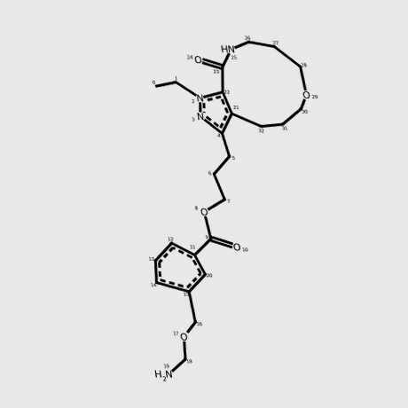 CCn1nc(CCCOC(=O)c2cccc(COCN)c2)c2c1C(=O)NCCCOCCC2